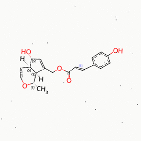 C[C@@H]1OC=C[C@@H]2[C@H]1C(COC(=O)/C=C/c1ccc(O)cc1)=C[C@H]2O